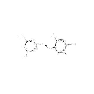 Nc1nc(N)nc(/N=N/c2cc(Cl)c(O)cc2O)n1